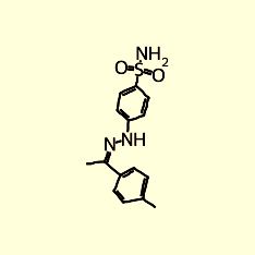 CC(=NNc1ccc(S(N)(=O)=O)cc1)c1ccc(C)cc1